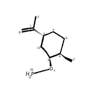 C=C(C)[C@@H]1CC[C@@H](C)[C@@H](OP)C1